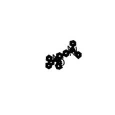 c1ccc(-c2nc(-c3ccccc3)nc(-c3ccc(-c4ccc5nc(-c6cc7ccccc7c7ccccc67)c6c7ccccc7oc6c5c4)cc3)n2)cc1